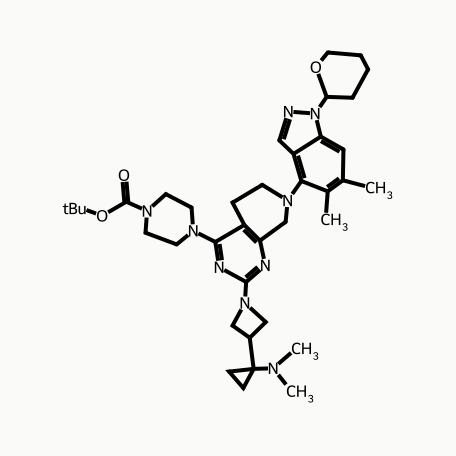 Cc1cc2c(cnn2C2CCCCO2)c(N2CCc3c(nc(N4CC(C5(N(C)C)CC5)C4)nc3N3CCN(C(=O)OC(C)(C)C)CC3)C2)c1C